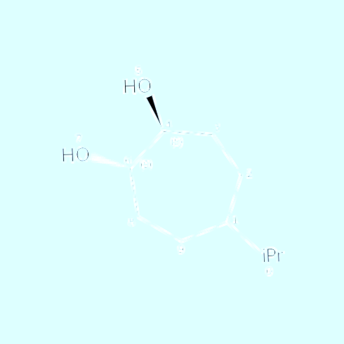 CC(C)C1CC[C@H](O)[C@@H](O)CC1